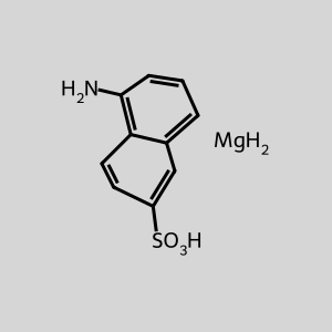 Nc1cccc2cc(S(=O)(=O)O)ccc12.[MgH2]